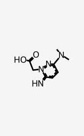 CN(C)c1ccc(=N)n(CC(=O)O)n1